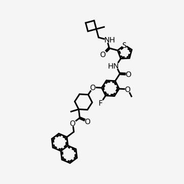 COc1cc(F)c(OC2CCC(C)(C(=O)OCc3cccc4ccccc34)CC2)cc1C(=O)Nc1ccsc1C(=O)NCC1(C)CCC1